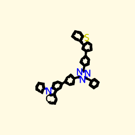 c1ccc(-c2nc(-c3ccc(-c4ccc5sc6ccccc6c5c4)cc3)nc(-c3ccc(-c4ccc5c(c4)c4ccccc4n5-c4ccccc4)cc3)n2)cc1